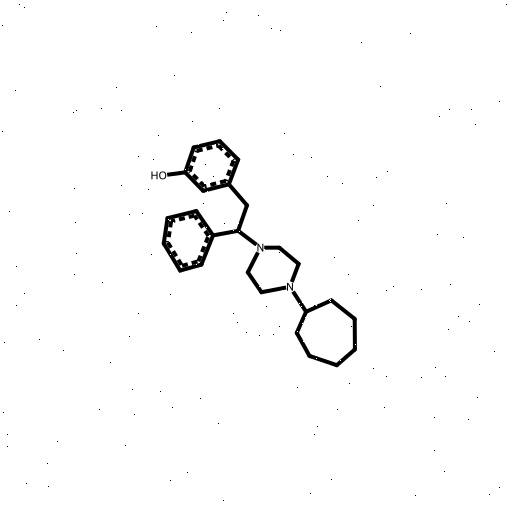 Oc1cccc(CC(c2ccccc2)N2CCN(C3CCCCCC3)CC2)c1